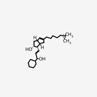 CN(C)CCCCCC1=C[C@H]2C[C@@H](O)[C@H](/C=C/[C@@H](O)C3CCCCC3)[C@H]2C1